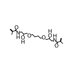 C=C(C)C(=O)NCC(O)COCCCCOCC(O)CNC(=O)C(=C)C